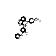 CN1CCC(Oc2cccc3ncnc(Nc4ccc(Sc5ccccn5)c(Cl)c4)c23)CC1